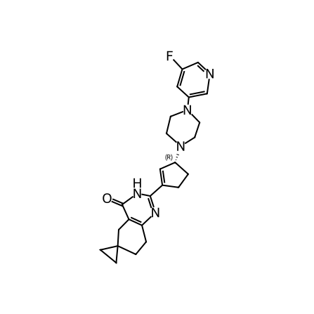 O=c1[nH]c(C2=C[C@H](N3CCN(c4cncc(F)c4)CC3)CC2)nc2c1CC1(CC2)CC1